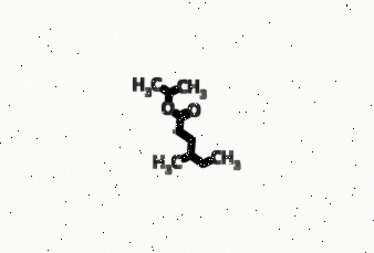 CCC(C)C[CH]C(=O)OC(C)C